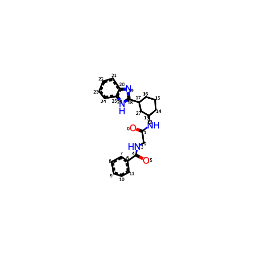 O=C(CNC(=O)c1ccccc1)NC1CCCC(c2nc3ccccc3[nH]2)C1